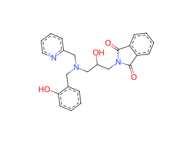 O=C1c2ccccc2C(=O)N1CC(O)CN(Cc1ccccn1)Cc1ccccc1O